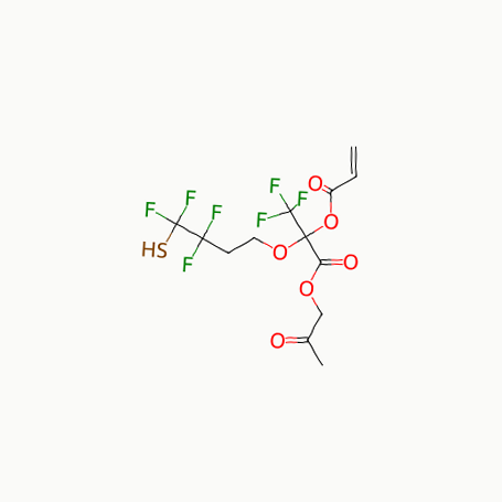 C=CC(=O)OC(OCCC(F)(F)C(F)(F)S)(C(=O)OCC(C)=O)C(F)(F)F